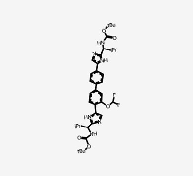 CC(C)[C@H](NC(=O)OC(C)(C)C)c1ncc(-c2ccc(-c3ccc(-c4cnc([C@@H](NC(=O)OC(C)(C)C)C(C)C)[nH]4)c(OC(F)F)c3)cc2)[nH]1